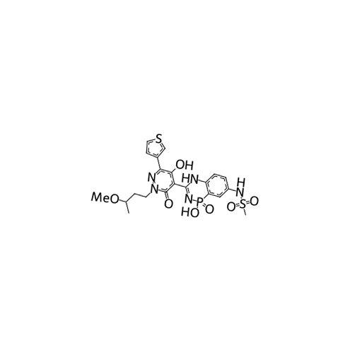 COC(C)CCn1nc(-c2ccsc2)c(O)c(C2=NP(=O)(O)c3cc(NS(C)(=O)=O)ccc3N2)c1=O